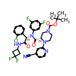 CC(C)(C)OC(=O)N1CCN(c2cc(C#N)ccn2)[C@H](C(=O)N(c2cc(F)cc(F)c2)[C@H](C(=O)NC2CC(F)(F)C2)c2ccccc2Cl)C1